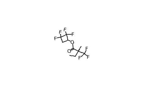 CCC(C)(C(=O)OC1CC(F)(F)C1(F)F)C(F)(F)F